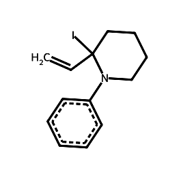 C=CC1(I)CCCCN1c1ccccc1